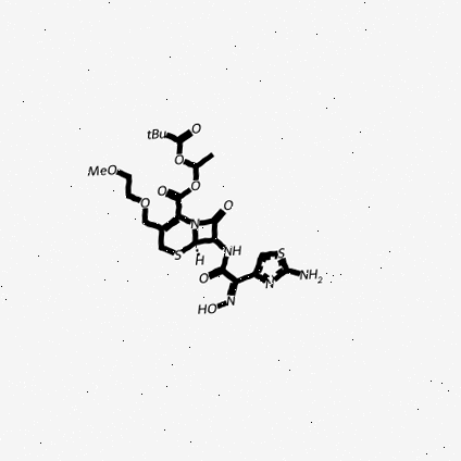 COCCOCC1=C(C(=O)OC(C)OC(=O)C(C)(C)C)N2C(=O)C(NC(=O)/C(=N\O)c3csc(N)n3)[C@H]2SC1